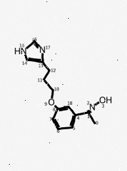 CC(=NO)c1cccc(OCCCc2c[nH]cn2)c1